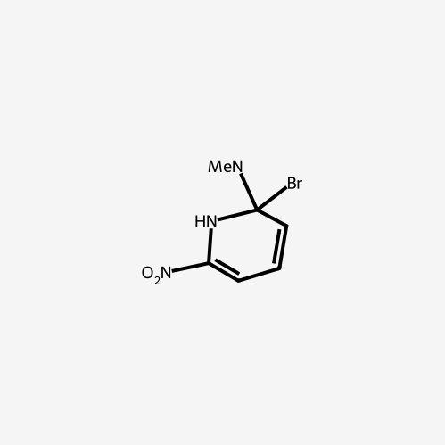 CNC1(Br)C=CC=C([N+](=O)[O-])N1